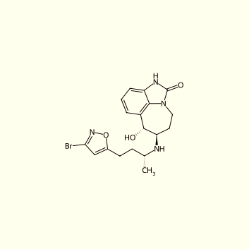 C[C@H](CCc1cc(Br)no1)N[C@@H]1CCn2c(=O)[nH]c3cccc(c32)[C@H]1O